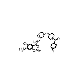 COc1cc(N)c(Cl)cc1C(=O)NCC1CN(CC2CCN(C(=O)c3ccc(Cl)cc3)CC2)CCO1